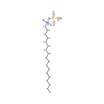 CCCCCCCCCCCCCCCCCC[N+](C)(C)CS(=O)(=O)O